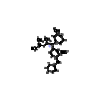 C/C(CN(C)C)=C(/c1ccc(Oc2ccccc2)cc1)c1cccc(O)c1.Cl